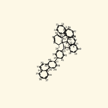 C1=CCC(c2ccccc2-c2ccccc2)(N(c2ccccc2)c2ccc(-c3ccc4c(ccc5ccccc54)c3)cc2)C(c2ccccc2)=C1